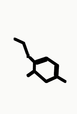 CCSC1=CC=C(C)CC1C